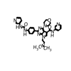 CN(C)CCn1cc(C(=O)Nc2cccnc2)c2c(N3CCOCC3)nc(-c3ccc(NC(=O)Nc4cccnc4)cc3)nc21